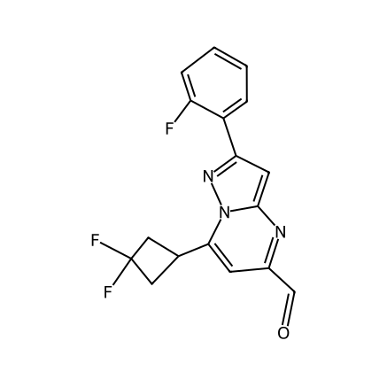 O=Cc1cc(C2CC(F)(F)C2)n2nc(-c3ccccc3F)cc2n1